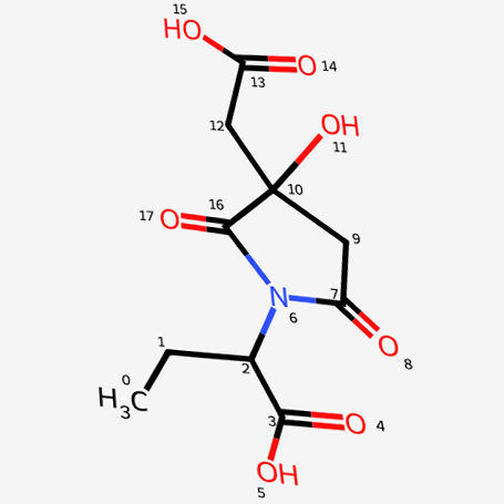 CCC(C(=O)O)N1C(=O)CC(O)(CC(=O)O)C1=O